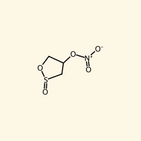 O=[N+]([O-])OC1COS(=O)C1